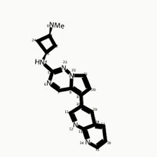 CN[C@H]1C[C@@H](Nc2ncc3c(-c4cnc5ncccc5c4)ccn3n2)C1